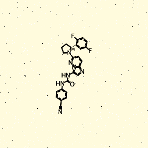 N#Cc1ccc(NC(=O)Nc2cnc3ccc(N4CCC[C@@H]4c4cc(F)ccc4F)nn23)cc1